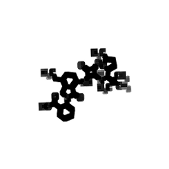 CCc1ccc(Nc2c(N[C@@H](c3ccc(C)o3)C(C)(C)C)c(=O)c2=O)c2c1CN(c1ccccc1C(=O)O)C2=O